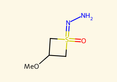 COC1CS(=O)(=NN)C1